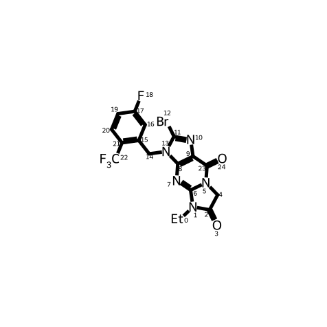 CCN1C(=O)Cn2c1nc1c(nc(Br)n1Cc1cc(F)ccc1C(F)(F)F)c2=O